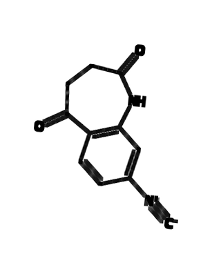 [C-]#[N+]c1ccc2c(c1)NC(=O)CCC2=O